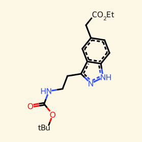 CCOC(=O)Cc1ccc2[nH]nc(CCNC(=O)OC(C)(C)C)c2c1